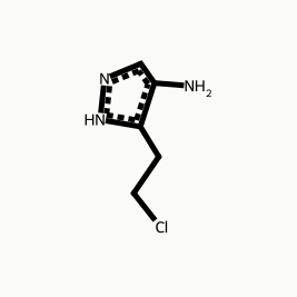 Nc1cn[nH]c1CCCl